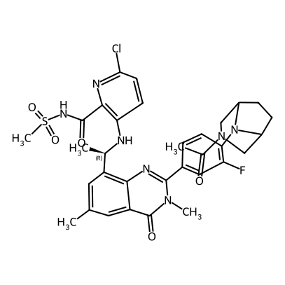 CC(=O)N1CC2CCC(C1)N2c1ccc(-c2nc3c([C@@H](C)Nc4ccc(Cl)nc4C(=O)NS(C)(=O)=O)cc(C)cc3c(=O)n2C)cc1F